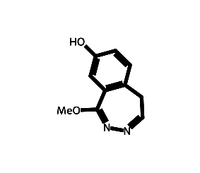 COC1=NN=CCc2ccc(O)cc21